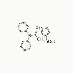 C=C(C)B(c1ccccc1)c1ccccc1.CCCCCCCCn1ccnc1